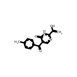 C=C(O)c1ncc(C(=O)c2ccc(C)cc2)c(=O)[nH]1